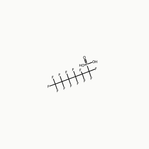 O=P(O)(O)C(F)(F)C(F)(F)C(F)(F)C(F)(F)C(F)(F)C(F)(F)F